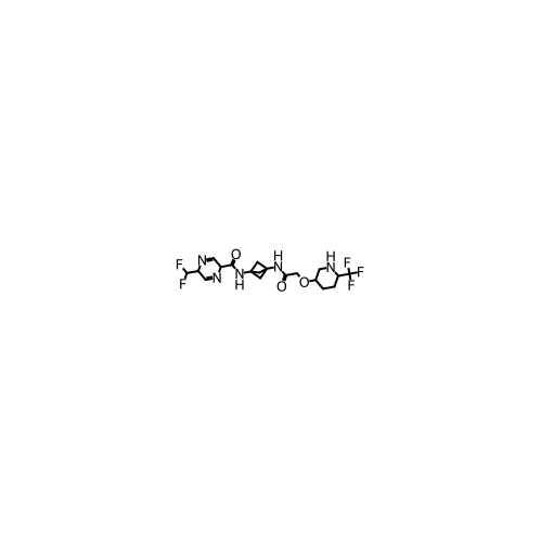 O=C(COC1CCC(C(F)(F)F)NC1)NC12CC(NC(=O)C3C=NC(C(F)F)C=N3)(C1)C2